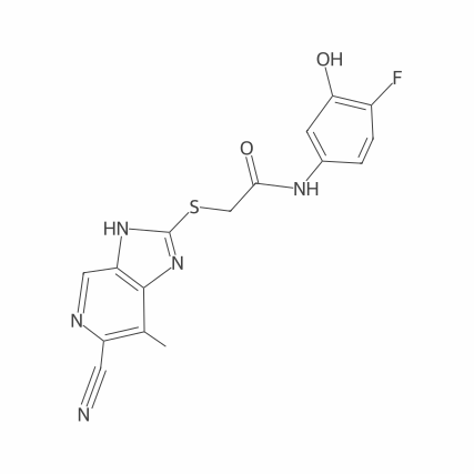 Cc1c(C#N)ncc2[nH]c(SCC(=O)Nc3ccc(F)c(O)c3)nc12